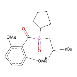 CCCCC(CC)CP(=O)(C(=O)c1c(OC)cccc1OC)C1CCCC1